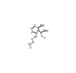 CCC(=N)n1c(OCCOC)cccc1=N